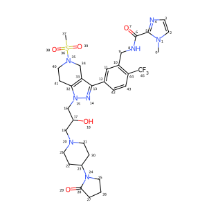 Cn1ccnc1C(=O)NCc1cc(-c2nn(CC(O)CN3CCC(N4CCCC4=O)CC3)c3c2CN(S(C)(=O)=O)CC3)ccc1C(F)(F)F